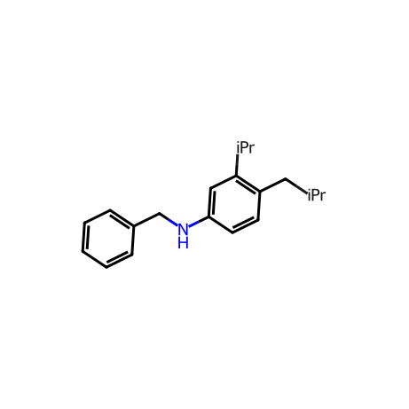 CC(C)Cc1ccc(NCc2ccccc2)cc1C(C)C